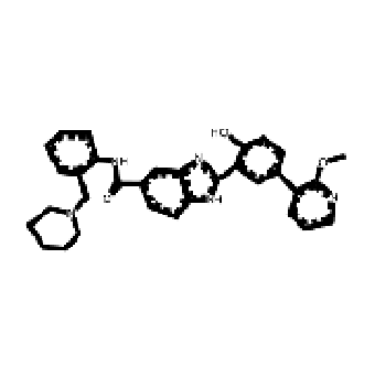 COc1ncccc1-c1ccc(O)c(-c2nc3cc(C(=O)Nc4ccccc4CN4CCCCC4)ccc3[nH]2)c1